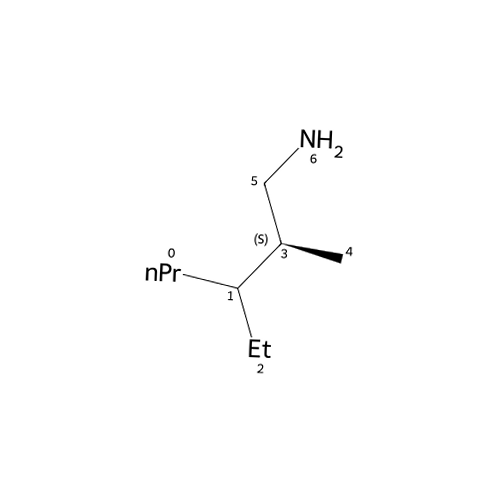 CCCC(CC)[C@H](C)CN